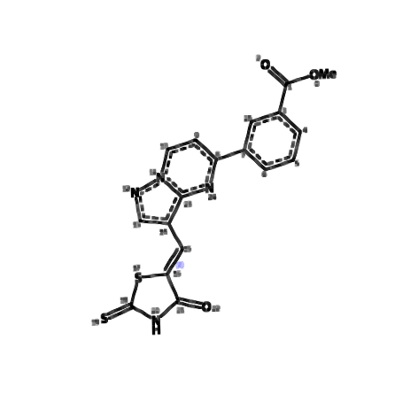 COC(=O)c1cccc(-c2ccn3ncc(/C=C4\SC(=S)NC4=O)c3n2)c1